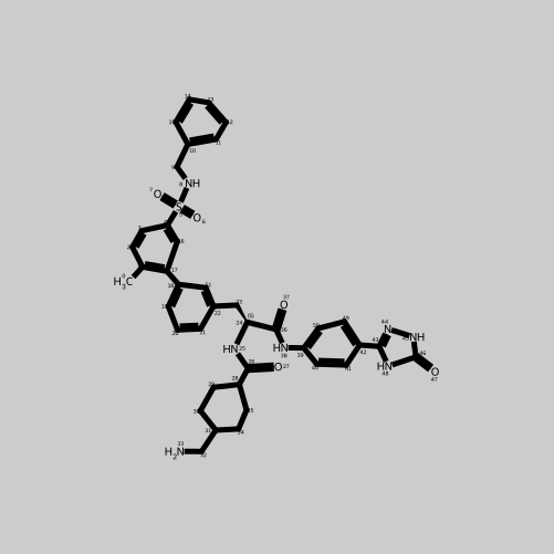 Cc1ccc(S(=O)(=O)NCc2ccccc2)cc1-c1cccc(C[C@H](NC(=O)C2CCC(CN)CC2)C(=O)Nc2ccc(-c3n[nH]c(=O)[nH]3)cc2)c1